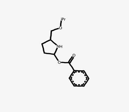 CC(C)OCC1CCC(OC(=O)c2ccccc2)N1